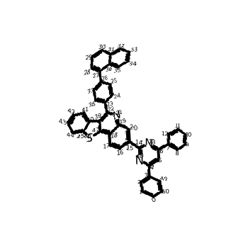 c1ccc(-c2cc(-c3ccccc3)nc(-c3ccc4c(c3)nc(-c3ccc(-c5cccc6ccccc56)cc3)c3c5ccccc5sc43)n2)cc1